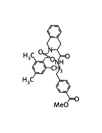 COC(=O)c1ccc(CCNC(=O)C2Cc3ccccc3CN2S(=O)(=O)c2c(C)cc(C)cc2C)cc1